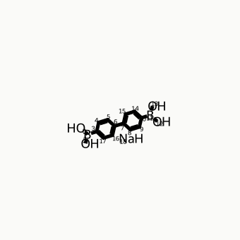 OB(O)c1ccc(-c2ccc(B(O)O)cc2)cc1.[NaH]